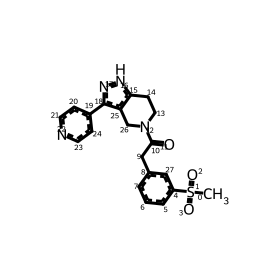 CS(=O)(=O)c1cccc(CC(=O)N2CCc3[nH]nc(-c4ccncc4)c3C2)c1